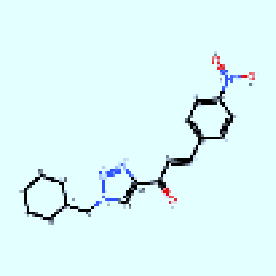 O=C(C=Cc1ccc([N+](=O)[O-])cc1)c1cn(CC2CCCCC2)nn1